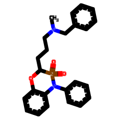 CN(CCCC1Oc2ccccc2N(c2ccccc2)S1(=O)=O)Cc1ccccc1